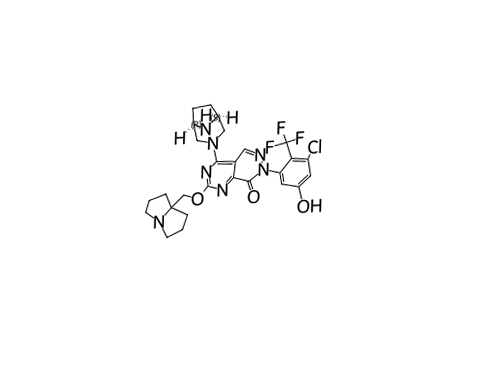 O=c1c2nc(OCC34CCCN3CCC4)nc(N3C[C@H]4CC[C@@H](C3)N4)c2cnn1-c1cc(O)cc(Cl)c1C(F)(F)F